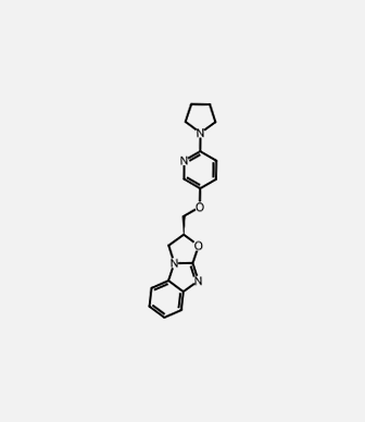 c1ccc2c(c1)nc1n2C[C@@H](COc2ccc(N3CCCC3)nc2)O1